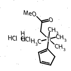 COC(=O)[CH2][Ti]([CH3])([CH3])([CH3])([CH3])[C]1=CC=CC1.Cl.Cl.Cl